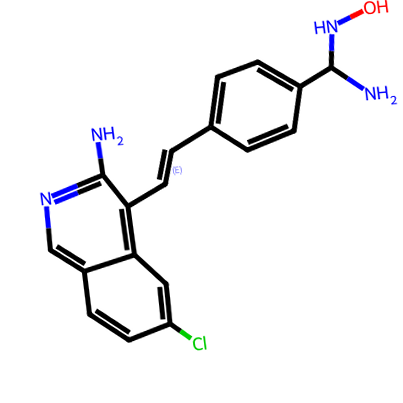 Nc1ncc2ccc(Cl)cc2c1/C=C/c1ccc(C(N)NO)cc1